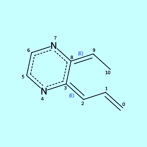 C=C/C=c1/nccn/c1=C/C